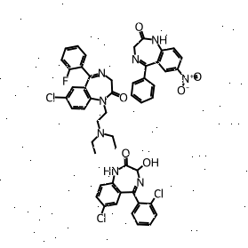 CCN(CC)CCN1C(=O)CN=C(c2ccccc2F)c2cc(Cl)ccc21.O=C1CN=C(c2ccccc2)c2cc([N+](=O)[O-])ccc2N1.O=C1Nc2ccc(Cl)cc2C(c2ccccc2Cl)=NC1O